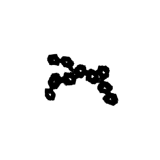 c1ccc(-c2ccc(-n3c4ccccc4c4cc(-c5ccc6c(c5)c5ccc(-c7cccc(-c8ccccc8)c7)cc5n6-c5cccc(-c6ccccc6)c5)ccc43)cc2)cc1